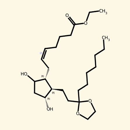 CCCCCCCC1(CC[C@H]2[C@H](O)CC(O)[C@@H]2C/C=C\CCCC(=O)OCC)OCCO1